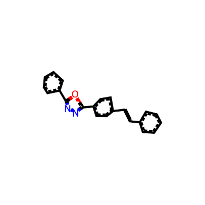 C(=Cc1ccc(-c2nnc(-c3ccccc3)o2)cc1)c1ccccc1